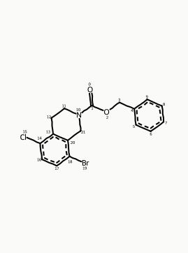 O=C(OCc1ccccc1)N1CCc2c(Cl)ccc(Br)c2C1